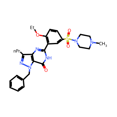 CCCc1nn(Cc2ccccc2)c2c(=O)[nH]c(-c3cc(S(=O)(=O)N4CCN(C)CC4)ccc3OCC)nc12